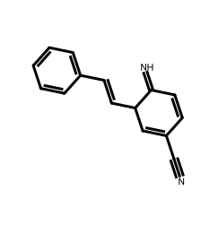 N#CC1=CC(C=Cc2ccccc2)C(=N)C=C1